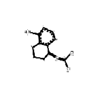 Nc1cccc2c1CCCC2=C=C(Cl)Cl